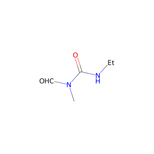 CCNC(=O)N(C)C=O